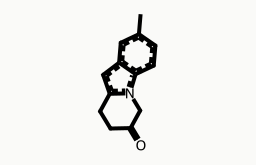 Cc1ccc2c(c1)cc1n2CC(=O)CC1